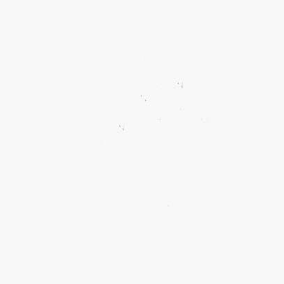 Cc1cccn(CC2(c3ccc4c(c3)OCCO4)NC(=O)NC2=O)c1=O